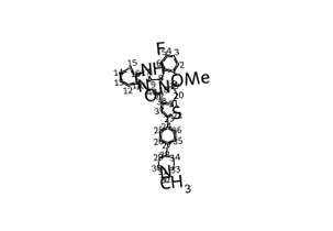 COc1ccc(F)cc1C(c1nc2ccccc2[nH]1)N1CCc2sc(-c3ccc(C4CCN(C)CC4)cc3)cc2C1=O